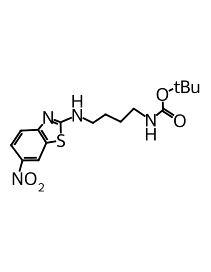 CC(C)(C)OC(=O)NCCCCNc1nc2ccc([N+](=O)[O-])cc2s1